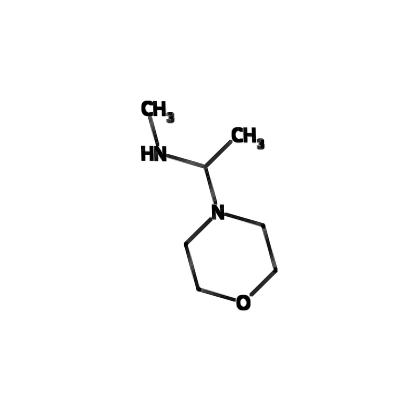 CNC(C)N1CCOCC1